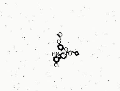 O=C(OCC1CCC1)N1CCc2c([nH]c3ccc(Cl)cc23)[C@@H]1c1ccc(OC[C@@H]2CO2)cc1